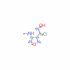 CNc1nonc1/C(Cl)=N/O